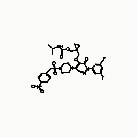 CC(C)NC(=O)OCC1(COc2c(N3CCN(S(=O)(=O)Cc4ccc([N+](=O)[O-])cc4)CC3)cnn(-c3cc(F)cc(F)c3)c2=O)CC1